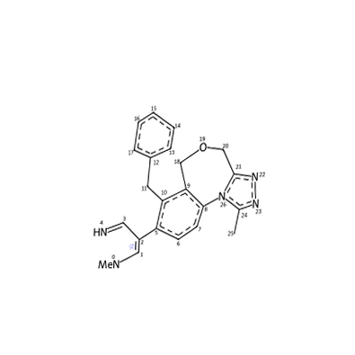 CN/C=C(\C=N)c1ccc2c(c1Cc1ccccc1)COCc1nnc(C)n1-2